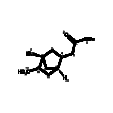 COC(=O)CN1C[C@]2(C(C)(C)C)C[C@@H]1CN2C(=O)O